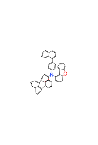 c1ccc(-c2cccc3cccc(-c4ccc(N(c5ccc(-c6cccc7ccccc67)cc5)c5cccc6oc7ccccc7c56)cc4)c23)cc1